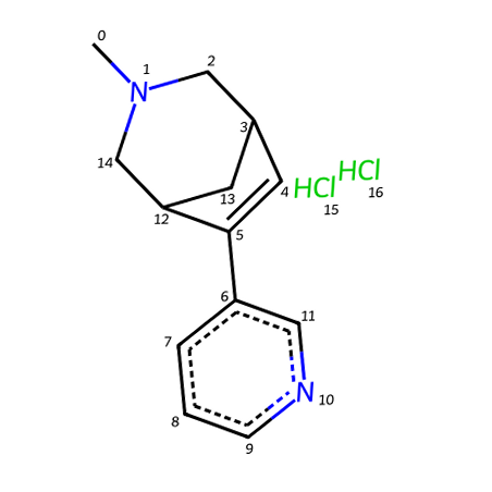 CN1CC2C=C(c3cccnc3)C(C2)C1.Cl.Cl